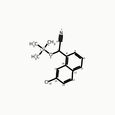 C[Si](C)(C)OC(C#N)c1cccc2ccc(Cl)cc12